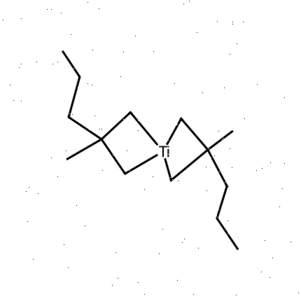 CCCC1(C)[CH2][Ti]2([CH2]1)[CH2]C(C)(CCC)[CH2]2